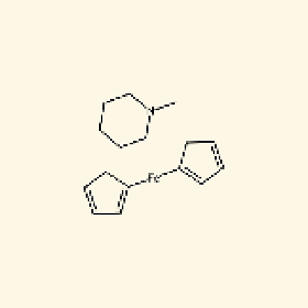 C1=CC[C]([Fe][C]2=CC=CC2)=C1.CN1CCCCC1